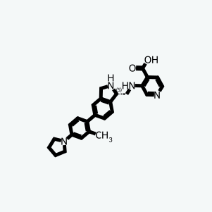 Cc1cc(N2CCCC2)ccc1-c1ccc2c(c1)CN[C@@H]2CNc1cnccc1C(=O)O